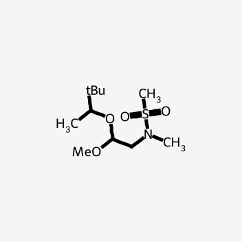 COC(CN(C)S(C)(=O)=O)OC(C)C(C)(C)C